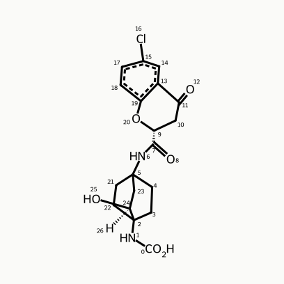 O=C(O)NC12CCC(NC(=O)[C@H]3CC(=O)c4cc(Cl)ccc4O3)(CC1)C[C@@H]2O